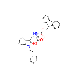 O=C(N[C@@H](Cc1cn(CCc2ccccc2)c2ccccc12)C(=O)O)OCC1c2ccccc2-c2ccccc21